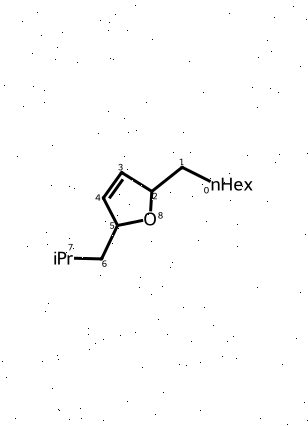 CCCCCCCC1C=CC(CC(C)C)O1